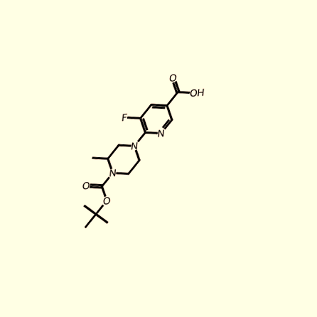 CC1CN(c2ncc(C(=O)O)cc2F)CCN1C(=O)OC(C)(C)C